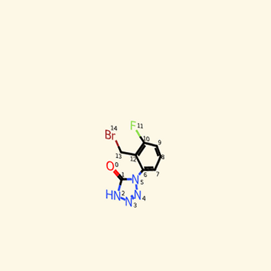 O=c1[nH]nnn1-c1cccc(F)c1CBr